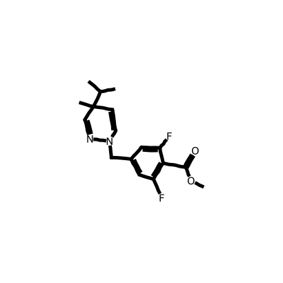 COC(=O)c1c(F)cc(CN2C=CC(C)(C(C)C)C=N2)cc1F